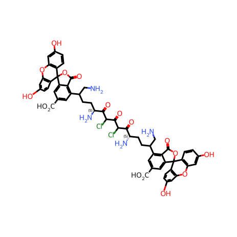 NCC(CC[C@H](N)C(=O)C(Cl)C(=O)C(Cl)C(=O)[C@@H](N)CCC(CN)c1cc(C(=O)O)cc2c1C(=O)OC21c2ccc(O)cc2Oc2cc(O)ccc21)c1cc(C(=O)O)cc2c1C(=O)OC21c2ccc(O)cc2Oc2cc(O)ccc21